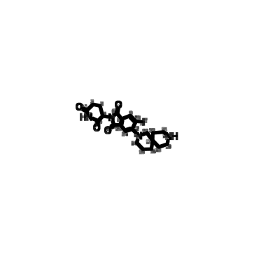 O=C1CCC(N2C(=O)c3cc(F)c(N4CCCC5(CCNCC5)C4)cc3C2=O)C(=O)N1